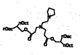 CCCCCCCCCCC(CCCCCCCC)COC(=O)CCN(CCC(=O)OCC(CCCCCCCC)CCCCCCCCCC)CCN1CCCC1